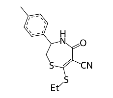 CCSC1=C(C#N)C(=O)NC(c2ccc(C)cc2)CS1